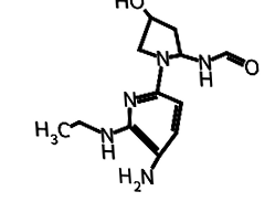 CCNc1nc(N2CC(O)CC2NC=O)ccc1N